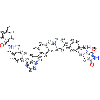 Cc1ccc(C(=O)NCc2ccc(-c3ncnn4cc(-c5ccc(CN6CCC(c7ccc(NC8CCC(=O)NC8=O)cc7)CC6)cc5)cc34)cc2C)cc1